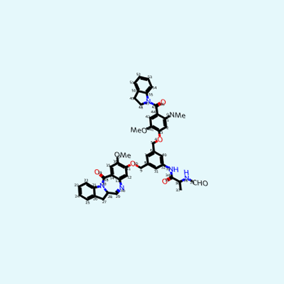 CNc1cc(OCc2cc(COc3cc4c(cc3OC)C(=O)N3c5ccccc5CC3C=N4)cc(NC(=O)C(C)NC=O)c2)c(OC)cc1C(=O)N1CCc2ccccc21